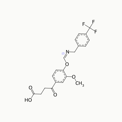 COc1cc(C(=O)CCC(=O)O)ccc1O/C=N\Cc1ccc(C(F)(F)F)cc1